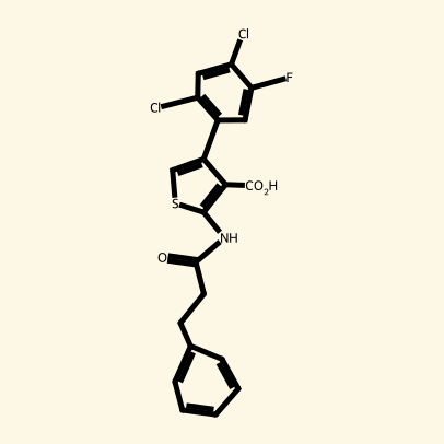 O=C(CCc1ccccc1)Nc1scc(-c2cc(F)c(Cl)cc2Cl)c1C(=O)O